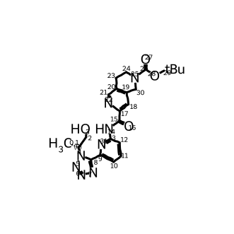 C[C@H](CO)n1nnnc1-c1cccc(NC(=O)c2cc3c(cn2)CCN(C(=O)OC(C)(C)C)C3)n1